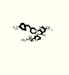 NS(=O)(=O)c1cc(NC(=O)c2cc(C(F)(F)F)cnc2N2CCCC(Cc3ccc(C(F)(F)F)cc3)C2)ccn1